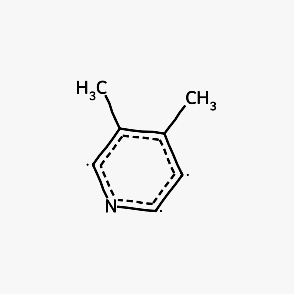 Cc1[c][c]n[c]c1C